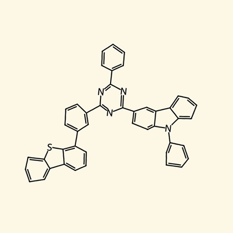 c1ccc(-c2nc(-c3cccc(-c4cccc5c4sc4ccccc45)c3)nc(-c3ccc4c(c3)c3ccccc3n4-c3ccccc3)n2)cc1